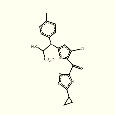 CCOC(=O)C(C)N(c1ccc(F)cc1)c1nc(Cl)c(C(=O)c2nc(C3CC3)no2)s1